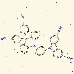 N#Cc1ccc(C2(c3ccc(C#N)cc3)c3ccccc3N(c3cccc(-n4c5ccc(C#N)cc5c5cc(C#N)ccc54)c3)c3ccccc32)cc1